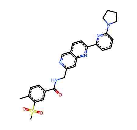 Cc1ccc(C(=O)NCc2cc3nc(-c4cccc(N5CCCC5)n4)ccc3cn2)cc1S(C)(=O)=O